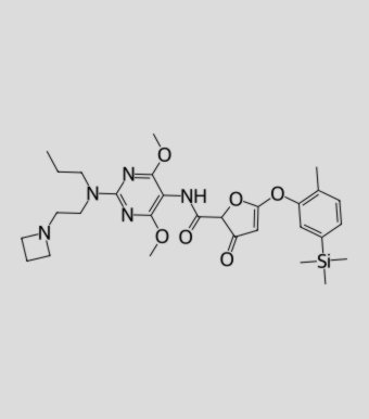 CCCN(CCN1CCC1)c1nc(OC)c(NC(=O)C2OC(Oc3cc([Si](C)(C)C)ccc3C)=CC2=O)c(OC)n1